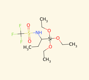 CCO[Si](OCC)(OCC)C(CC)NS(=O)(=O)C(F)(F)F